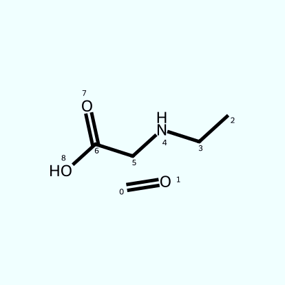 C=O.CCNCC(=O)O